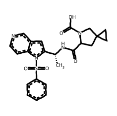 C[C@@H](NC(=O)C1CC2(CC2)CN1C(=O)O)c1cc2cnccc2n1S(=O)(=O)c1ccccc1